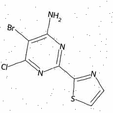 Nc1nc(-c2nccs2)nc(Cl)c1Br